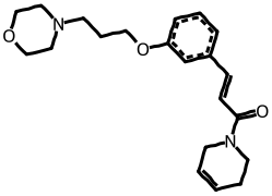 O=C(/C=C/c1cccc(OCCCN2CCOCC2)c1)N1CC=CCC1